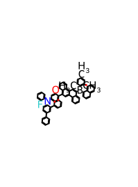 Cc1cc(C)c(B(c2cccc3ccccc23)c2cc3c4cccc5c4c(cc3c3ccccc23)-c2ccc(N(c3ccccc3)c3c(F)cc(-c4ccccc4)cc3-c3ccccc3)cc2O5)c(C)c1